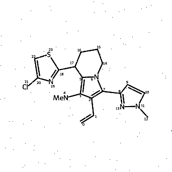 C=Cc1c(NC)c2n(c1-c1ccn(C)n1)CCCC2c1nc(Cl)cs1